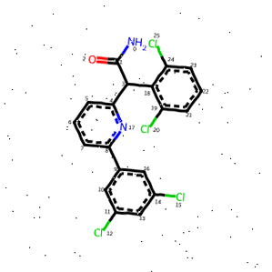 NC(=O)C(c1cccc(-c2cc(Cl)cc(Cl)c2)n1)c1c(Cl)cccc1Cl